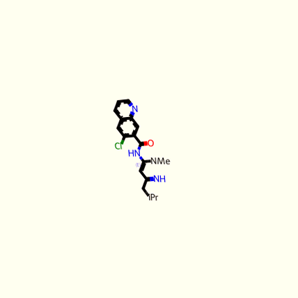 CN/C(=C\C(=N)CC(C)C)NC(=O)c1cc2ncccc2cc1Cl